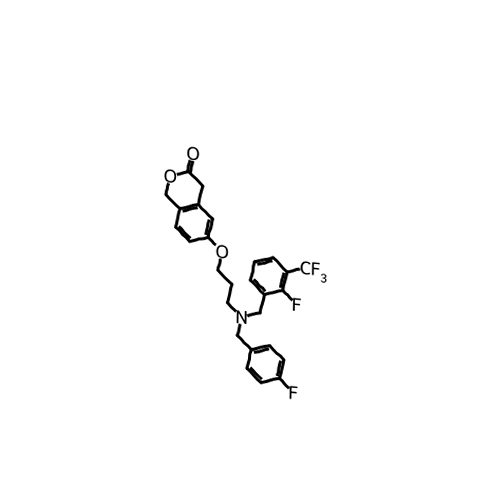 O=C1Cc2cc(OCCCN(Cc3ccc(F)cc3)Cc3cccc(C(F)(F)F)c3F)ccc2CO1